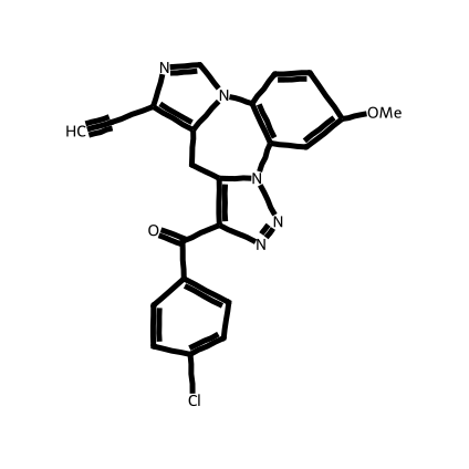 C#Cc1ncn2c1Cc1c(C(=O)c3ccc(Cl)cc3)nnn1-c1cc(OC)ccc1-2